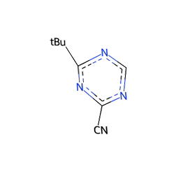 CC(C)(C)c1ncnc(C#N)n1